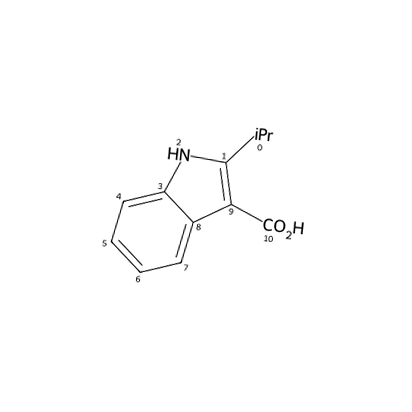 CC(C)c1[nH]c2ccccc2c1C(=O)O